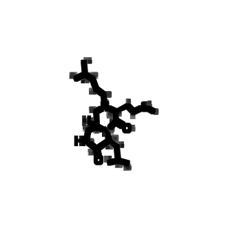 CSCC[C@H]1C(=O)N2[C@H](CNC(=O)[C@@H]2CC(C)C)CN1CCCC(C)C